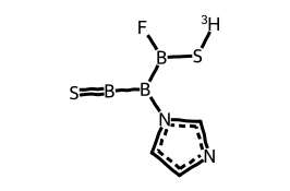 [3H]SB(F)B(B=S)n1ccnc1